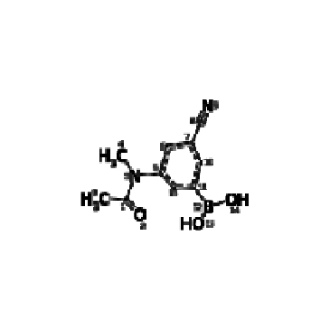 CC(=O)N(C)c1cc(C#N)cc(B(O)O)c1